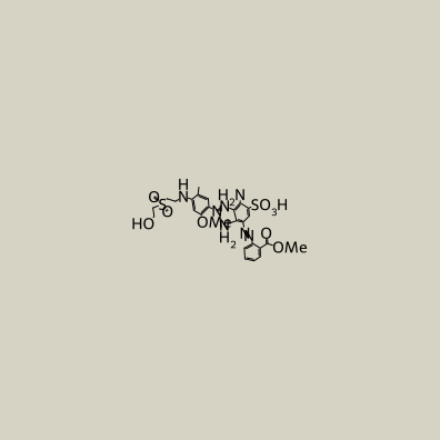 COC(=O)c1ccccc1/N=N/c1cc(S(=O)(=O)O)c(N)c(/N=N/c2cc(C)c(NCCS(=O)(=O)CCO)cc2OC)c1N